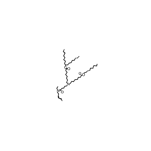 CC/C=C\CCN(CC)C(=O)CCCCN(CCCCCCCC(=O)OCCCCCCCCC)CCCCCCCC(=O)OC(CCCCCCCC)CCCCCCCC